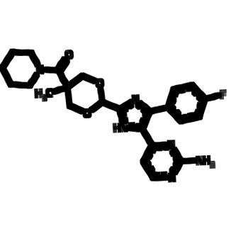 CC1(C(=O)N2CCCCC2)COC(c2nc(-c3ccc(F)cc3)c(-c3ccnc(N)n3)[nH]2)OC1